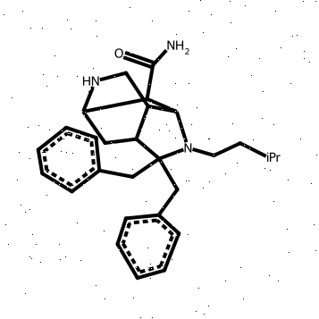 CC(C)CCN1C2C3CNC(CC3C1(Cc1ccccc1)Cc1ccccc1)C2C(N)=O